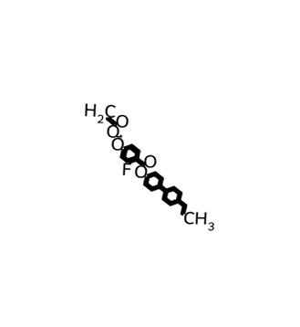 C=CC(=O)OCOc1ccc(C(=O)OC2CCC(C3CCC(CCC)CC3)CC2)c(F)c1